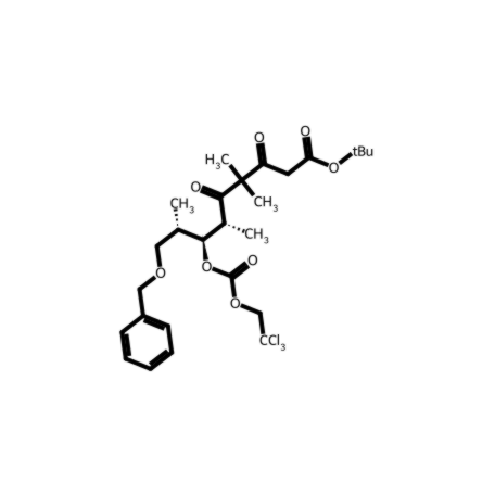 C[C@@H](COCc1ccccc1)[C@H](OC(=O)OCC(Cl)(Cl)Cl)[C@@H](C)C(=O)C(C)(C)C(=O)CC(=O)OC(C)(C)C